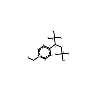 CC[n+]1ccc(C(CC(C)(C)C)C(C)(C)C)cc1